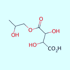 CC(O)COC(=O)C(O)C(O)C(=O)O